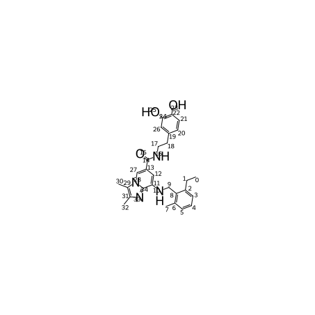 CCc1cccc(C)c1CNc1cc(C(=O)NCCc2ccc(O)c(O)c2)cn2c(C)c(C)nc12